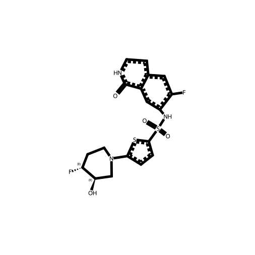 O=c1[nH]ccc2cc(F)c(NS(=O)(=O)c3ccc(N4CC[C@@H](F)[C@H](O)C4)s3)cc12